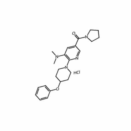 CN(C)c1cc(C(=O)N2CCCC2)cnc1N1CCC(Oc2ccccc2)CC1.Cl